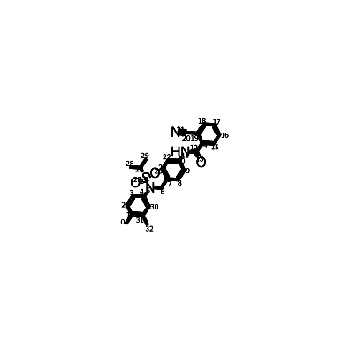 Cc1ccc(N(Cc2ccc(NC(=O)c3ccccc3C#N)cc2)S(=O)(=O)C(C)C)cc1C